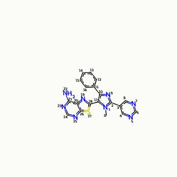 Cn1c(-c2cncnc2)nc(-c2ccccc2)c1-c1nc2c(N)ncnc2s1